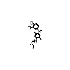 CCN(C)C=Nc1cc(C)c(N(C)c2ccc(Cl)c(Cl)c2)cc1C